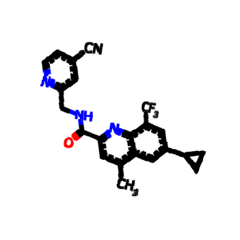 Cc1cc(C(=O)NCc2cc(C#N)ccn2)nc2c(C(F)(F)F)cc(C3CC3)cc12